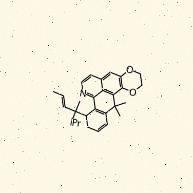 CC=CC(C)(C(C)C)C1CC=CC2=C1c1nccc3cc4c(c(c13)C2(C)C)OCCO4